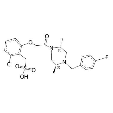 C[C@@H]1CN(Cc2ccc(F)cc2)[C@@H](C)CN1C(=O)COc1cccc(Cl)c1CS(=O)(=O)O